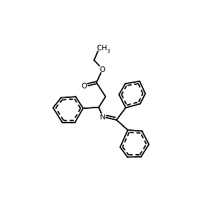 CCOC(=O)CC(N=C(c1ccccc1)c1ccccc1)c1ccccc1